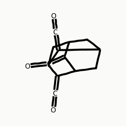 O=C=C1C2CC3CC1C(=C=O)C(C2)C3=C=O